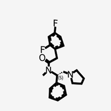 CN(C(=O)Cc1ccc(F)cc1F)[C@H](CN1CCCC1)c1ccccc1